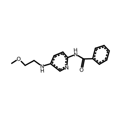 COCCNc1ccc(NC(=O)c2ccccc2)nc1